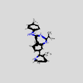 COC(C)c1nc(Nc2ccc(C(F)(F)F)cc2)c2ccc(-c3ncccc3C(F)(F)F)cc2n1